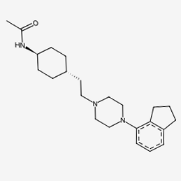 CC(=O)N[C@H]1CC[C@H](CCN2CCN(c3cccc4c3CCC4)CC2)CC1